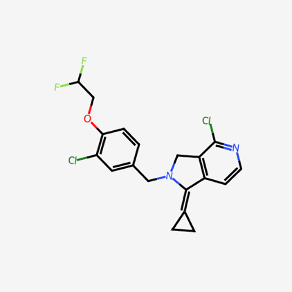 FC(F)COc1ccc(CN2Cc3c(ccnc3Cl)C2=C2CC2)cc1Cl